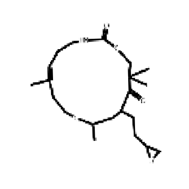 CC1=CCCNC(=O)CCC(C)(C)C(=O)C(CCC2CO2)CC(C)CCC1